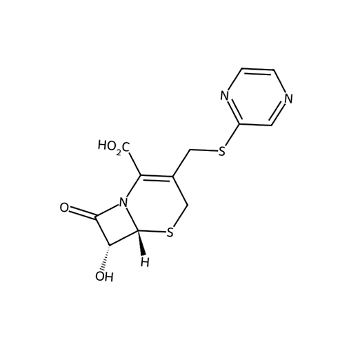 O=C(O)C1=C(CSc2cnccn2)CS[C@@H]2[C@H](O)C(=O)N12